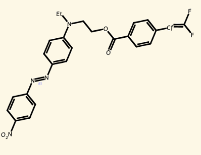 CCN(CCOC(=O)c1cc[c]([Cf]=[C](F)F)cc1)c1ccc(/N=N/c2ccc([N+](=O)[O-])cc2)cc1